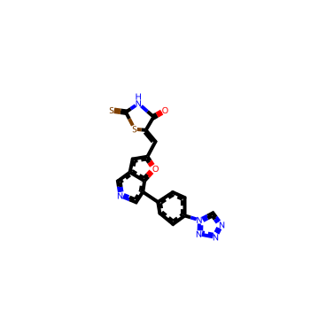 O=C1NC(=S)S/C1=C\c1cc2cncc(-c3ccc(-n4cnnn4)cc3)c2o1